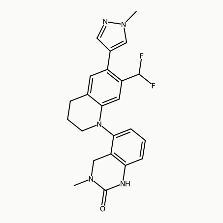 CN1Cc2c(cccc2N2CCCc3cc(-c4cnn(C)c4)c(C(F)F)cc32)NC1=O